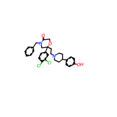 O=C1COC(CCN2CCC(c3ccc(O)cc3)CC2)(c2ccc(Cl)c(Cl)c2)CN1Cc1ccccc1